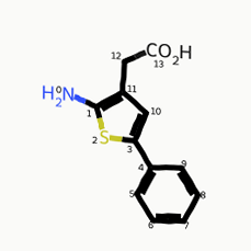 Nc1sc(-c2ccccc2)cc1CC(=O)O